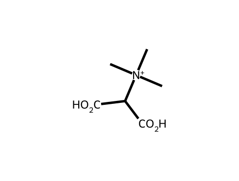 C[N+](C)(C)C(C(=O)O)C(=O)O